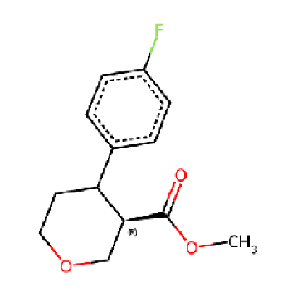 COC(=O)[C@H]1COCCC1c1ccc(F)cc1